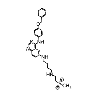 CS(=O)(=O)CCNCCCCNc1ccc2ncnc(Nc3ccc(OCc4ccccc4)cc3)c2c1